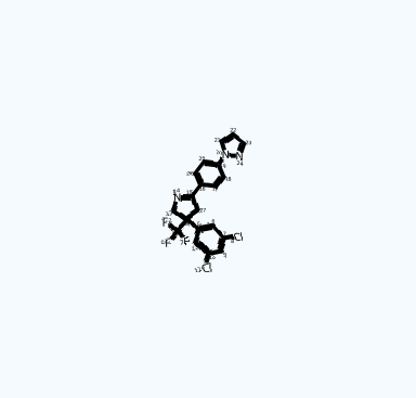 FC(F)(F)C1(c2cc(Cl)cc(Cl)c2)CN=C(c2ccc(-n3cccn3)cc2)C1